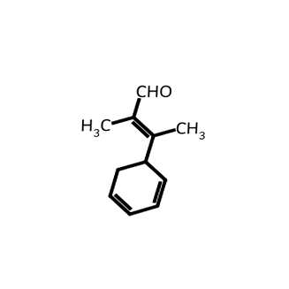 CC(C=O)=C(C)C1C=CC=CC1